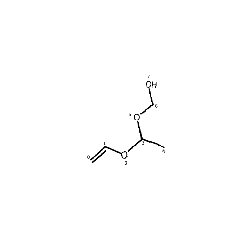 C=COC(C)OCO